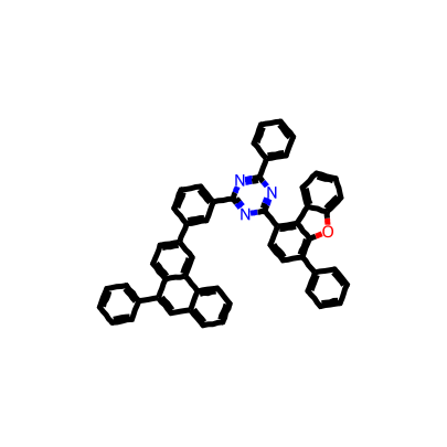 c1ccc(-c2nc(-c3cccc(-c4ccc5c(-c6ccccc6)cc6ccccc6c5c4)c3)nc(-c3ccc(-c4ccccc4)c4oc5ccccc5c34)n2)cc1